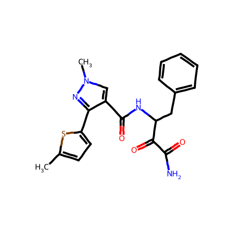 Cc1ccc(-c2nn(C)cc2C(=O)NC(Cc2ccccc2)C(=O)C(N)=O)s1